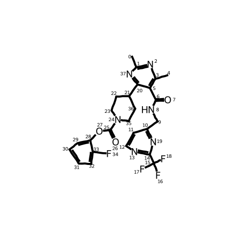 Cc1nc(C)c(C(=O)NCc2ccnc(C(F)(F)F)n2)c(C2CCN(C(=O)Oc3ccccc3F)CC2)n1